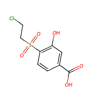 O=C(O)c1ccc(S(=O)(=O)CCCl)c(O)c1